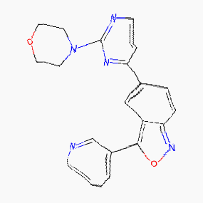 c1cncc(-c2onc3ccc(-c4ccnc(N5CCOCC5)n4)cc23)c1